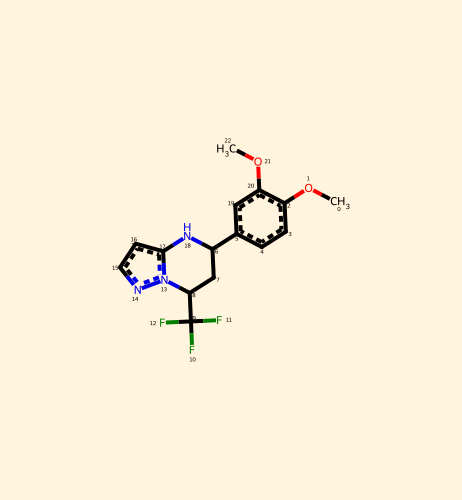 COc1ccc(C2CC(C(F)(F)F)n3nc[c]c3N2)cc1OC